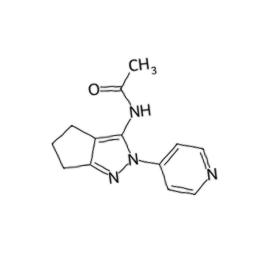 CC(=O)Nc1c2c(nn1-c1ccncc1)CCC2